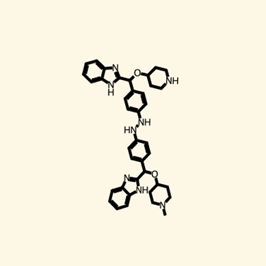 CN1CCC(OC(c2ccc(NNc3ccc(C(OC4CCNCC4)c4nc5ccccc5[nH]4)cc3)cc2)c2nc3ccccc3[nH]2)CC1